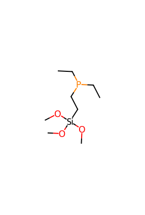 CCP(CC)CC[Si](OC)(OC)OC